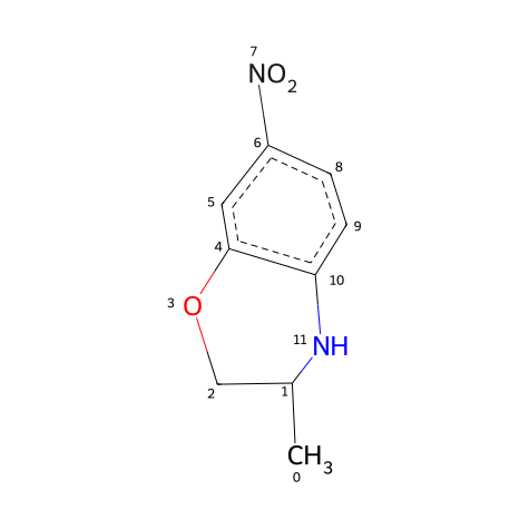 CC1COc2cc([N+](=O)[O-])ccc2N1